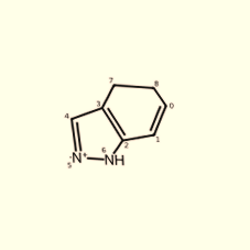 C1=CC2=C(C=[N+]N2)CC1